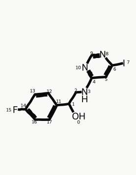 OC(CNc1cc(I)ncn1)c1ccc(F)cc1